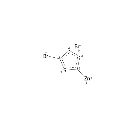 [Br-].[Zn+][c]1ccc(Br)s1